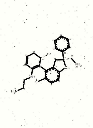 NCCNC1=C(c2c(Cl)ccc3c2C[C@@](CN)(c2ccccc2)O3)[C@@H](F)CC=C1